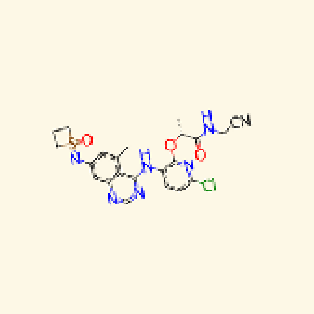 Cc1cc(N=S2(=O)CCC2)cc2ncnc(Nc3ccc(Cl)nc3O[C@H](C)C(=O)NCC#N)c12